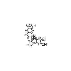 N#Cc1ccc(N2N=C3c4ccc(C(=O)O)cc4CCC3[C@H]2C2CCCC2)cc1Cl